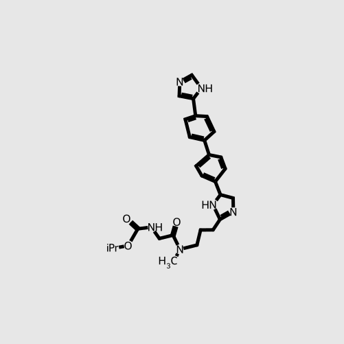 CC(C)OC(=O)NCC(=O)N(C)CCCC1=NCC(c2ccc(-c3ccc(-c4cnc[nH]4)cc3)cc2)N1